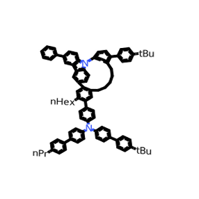 CCCCCCc1cc2c(cc1-c1ccc(N(c3ccc(-c4ccc(CCC)cc4)cc3)c3ccc(-c4ccc(C(C)(C)C)cc4)cc3)cc1)CCCCCc1cc(ccc1-c1ccc(C(C)(C)C)cc1)-n1c3ccc(-c4ccccc4)cc3c3cc-2ccc31